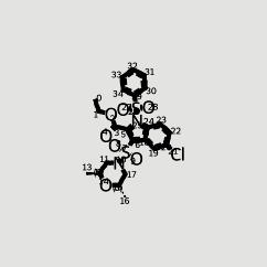 CCOC(=O)c1c(S(=O)(=O)N2C[C@H](C)O[C@@H](C)C2)c2cc(Cl)ccc2n1S(=O)(=O)c1ccccc1